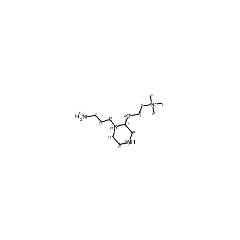 C[N+](C)(C)CCOC1CNCCN1CCCN